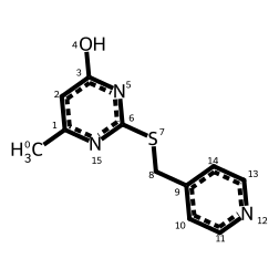 Cc1cc(O)nc(SCc2ccncc2)n1